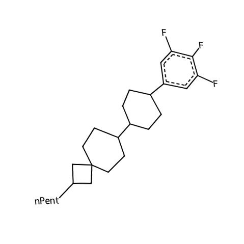 CCCCCC1CC2(CCC(C3CCC(c4cc(F)c(F)c(F)c4)CC3)CC2)C1